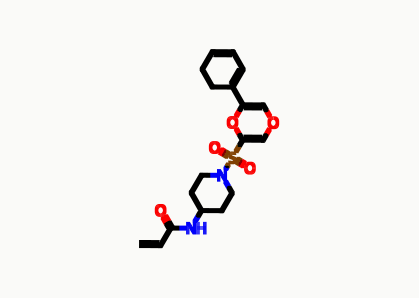 C=CC(=O)NC1CCN(S(=O)(=O)C2=COC=C(C3=CC=CCC3)O2)CC1